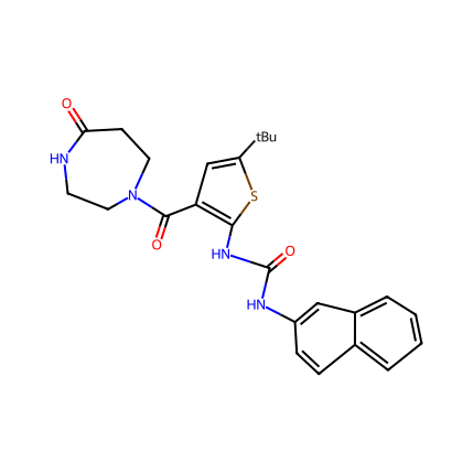 CC(C)(C)c1cc(C(=O)N2CCNC(=O)CC2)c(NC(=O)Nc2ccc3ccccc3c2)s1